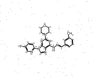 Cc1cccc(C=NNc2nc(N3CCOCC3)nc3c2ncn3-c2ccc(F)cn2)c1